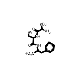 CCCCC(N)C(=O)NC(CC(C)C)C(=O)NC(Cc1ccccc1)C(=O)O